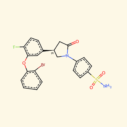 NS(=O)(=O)c1ccc(N2C[C@@H](c3ccc(F)c(Oc4ccccc4Br)c3)CC2=O)cc1